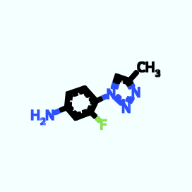 Cc1cn(-c2ccc(N)cc2F)nn1